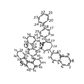 C1=C(c2ccc3ccccc3c2)CC=C(c2ccc(-c3ccccc3)cc2)N=C1c1ccc(-c2cccc3sc4ccc5ccccc5c4c23)c2oc3ccccc3c12